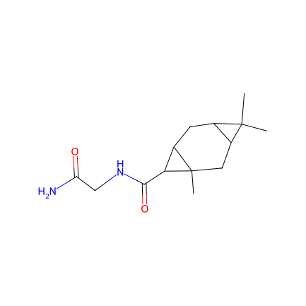 CC1(C)C2CC3C(C(=O)NCC(N)=O)C3(C)CC21